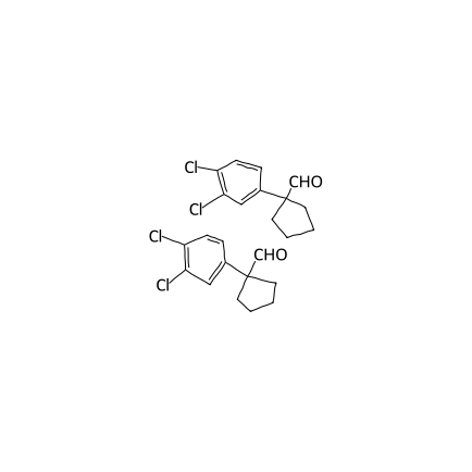 O=CC1(c2ccc(Cl)c(Cl)c2)CCCC1.O=CC1(c2ccc(Cl)c(Cl)c2)CCCC1